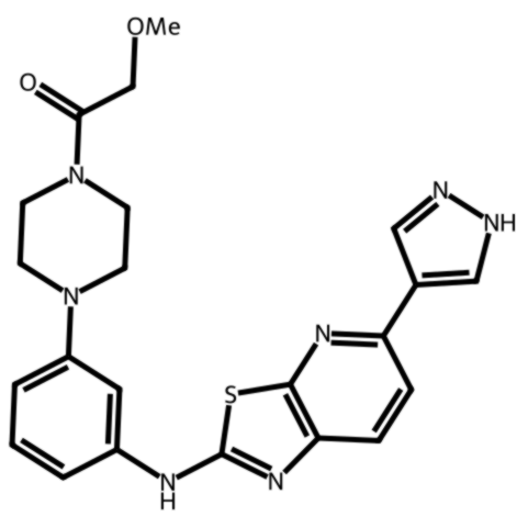 COCC(=O)N1CCN(c2cccc(Nc3nc4ccc(-c5cn[nH]c5)nc4s3)c2)CC1